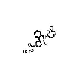 CC(C)(C)OC(=O)N1CCC2(C1)C(=O)N(C1CCONO1)c1ccccc12